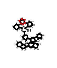 c1ccc(-c2ccccc2C2=NC(c3ccc(-n4c5cc6ccccc6cc5c5ccc6ccccc6c54)c(-c4ccc5oc6ccccc6c5c4)c3)NC(c3ccccc3-c3ccccc3)=N2)cc1